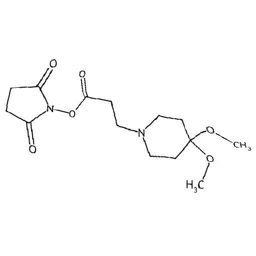 COC1(OC)CCN(CCC(=O)ON2C(=O)CCC2=O)CC1